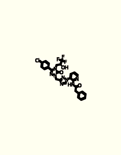 O=C(Cc1ccccc1)Nc1ncccc1-n1cnc(Cn2nc(-c3ccc(Cl)cc3)n(C[C@H](O)C(F)(F)F)c2=O)n1